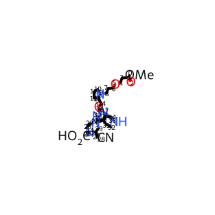 COC(=O)CCOCCCN1CCCC1COc1nc2c(c(N3CCN(C(=O)O)C(CC#N)C3)n1)CCNC2